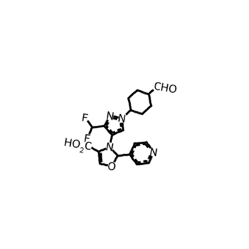 O=CC1CCC(n2cc(N3C(C(=O)O)=COC3c3ccncc3)c(C(F)F)n2)CC1